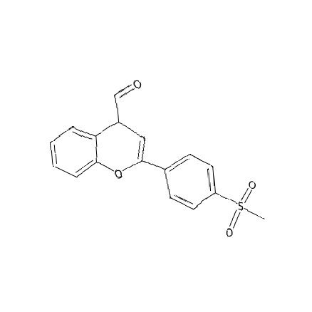 CS(=O)(=O)c1ccc(C2=CC(C=O)c3ccccc3O2)cc1